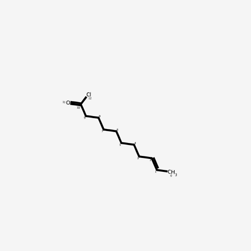 CC=CCCCCCCCC(=O)Cl